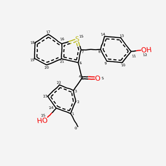 Cc1cc(C(=O)c2c(-c3ccc(O)cc3)sc3ccccc23)ccc1O